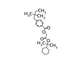 CCC(C)(C)Cc1ccc(C(=O)OCC(=O)OC(C)(C)C2CCCCC2)cc1